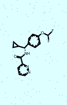 O=C(N[C@@H](c1ccc(OC(F)F)cc1)C1CC1)c1cccnn1